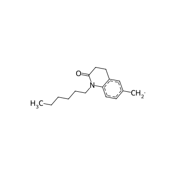 [CH2]c1ccc2c(c1)CCC(=O)N2CCCCCC